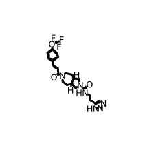 O=C(C=Cc1ccc(OC(F)(F)F)cc1)N1CC[C@@H]2CN(C(=O)NCCc3cnn[nH]3)C[C@@H]2CC1